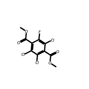 COC(=O)c1c(F)c(Cl)c(C(=O)OC)c(Cl)c1Cl